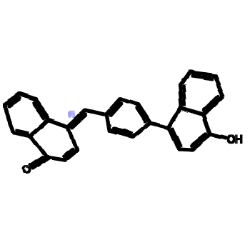 O=C1C=C/C(=C\c2ccc(-c3ccc(O)c4ccccc34)cc2)c2ccccc21